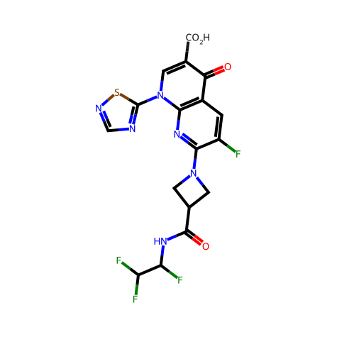 O=C(O)c1cn(-c2ncns2)c2nc(N3CC(C(=O)NC(F)C(F)F)C3)c(F)cc2c1=O